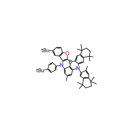 Cc1cc2c3c(c1)N(c1ccc(C(C)(C)C)cc1)c1c(oc4ccc(C(C)(C)C)cc14)B3c1cc3c(cc1N2c1cc2c(cc1C)C(C)(C)CCC2(C)C)C(C)(C)CCC3(C)C